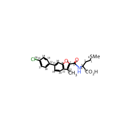 CSCCC(NC(=O)c1oc2cc(-c3ccc(Cl)cc3)ccc2c1C)C(=O)O